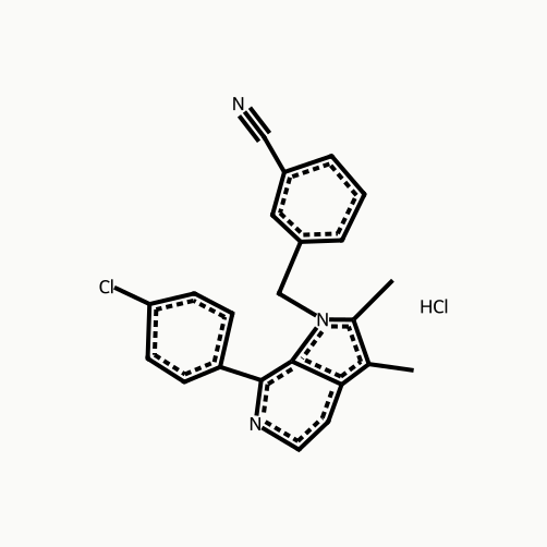 Cc1c(C)n(Cc2cccc(C#N)c2)c2c(-c3ccc(Cl)cc3)nccc12.Cl